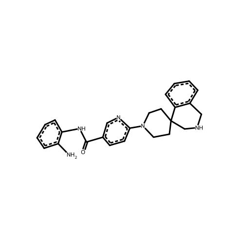 Nc1ccccc1NC(=O)c1ccc(N2CCC3(CC2)CNCc2ccccc23)nc1